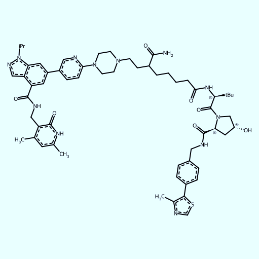 Cc1cc(C)c(CNC(=O)c2cc(-c3ccc(N4CCN(CCC(CCCCC(=O)N[C@H](C(=O)N5C[C@H](O)C[C@H]5C(=O)NCc5ccc(-c6scnc6C)cc5)C(C)(C)C)C(N)=O)CC4)nc3)cc3c2cnn3C(C)C)c(=O)[nH]1